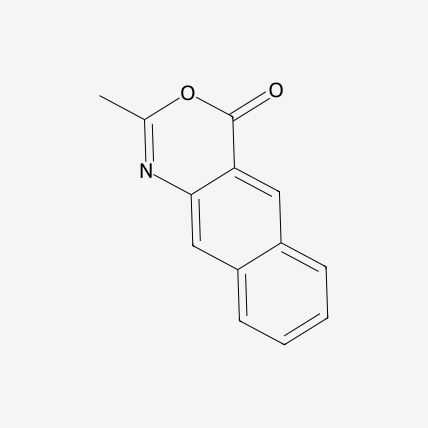 Cc1nc2cc3ccccc3cc2c(=O)o1